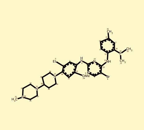 CCc1cc(Nc2ncc(Br)c(Nc3ccc(C)cc3P(C)C)n2)c(OC)cc1N1CCC(N2CCN(C)CC2)CC1